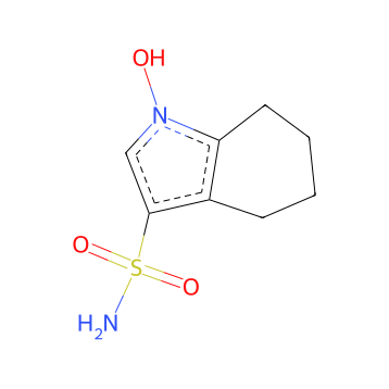 NS(=O)(=O)c1cn(O)c2c1CCCC2